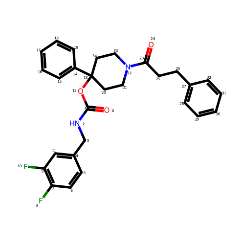 O=C(NCc1ccc(F)c(F)c1)OC1(c2ccccc2)CCN(C(=O)CCc2ccccc2)CC1